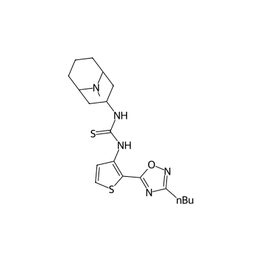 CCCCc1noc(-c2sccc2NC(=S)NC2CC3CCCC(C2)N3C)n1